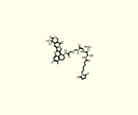 CC[C@@]1(O)C(=O)OCc2c1cc1n(c2=O)Cc2c-1nc1cc(F)c(C)c3c1c2[C@@H](NC(=O)COCNC(=O)[C@H](CO)NC(=O)[C@@H](NC(=O)CCCCCN1C(=O)C=CC1=O)C(C)C)CC3